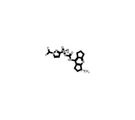 C[C@@H]1CCc2c1nc1c(c2NC(=O)N=[S@@](N)(=O)c2ccn(C(F)F)n2)CCC1